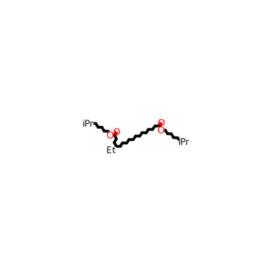 CCC(CCCCCCCCCCCCC(=O)OCCCCCC(C)C)CCC(=O)OCCCCCC(C)C